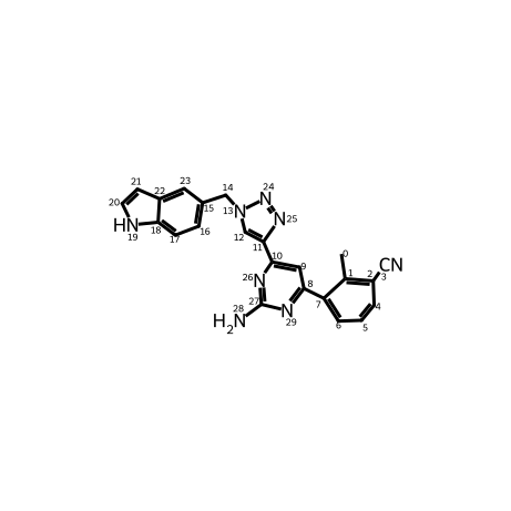 Cc1c(C#N)cccc1-c1cc(-c2cn(Cc3ccc4[nH]ccc4c3)nn2)nc(N)n1